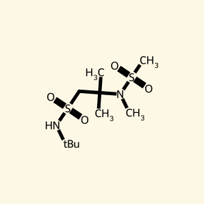 CN(C(C)(C)CS(=O)(=O)NC(C)(C)C)S(C)(=O)=O